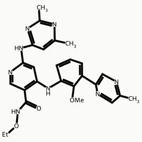 CCONC(=O)c1cnc(Nc2cc(C)nc(C)n2)cc1Nc1cccc(-c2cnc(C)cn2)c1OC